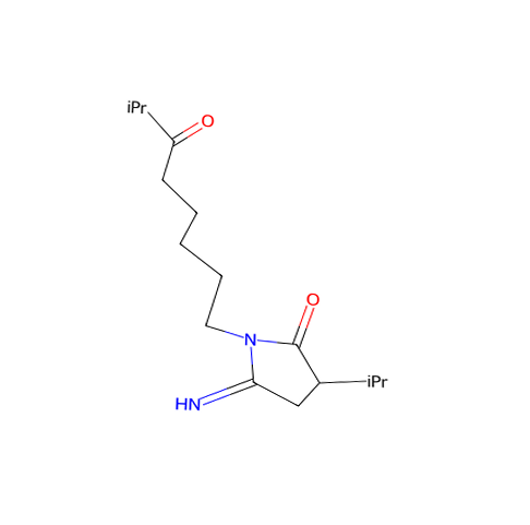 CC(C)C(=O)CCCCCN1C(=N)CC(C(C)C)C1=O